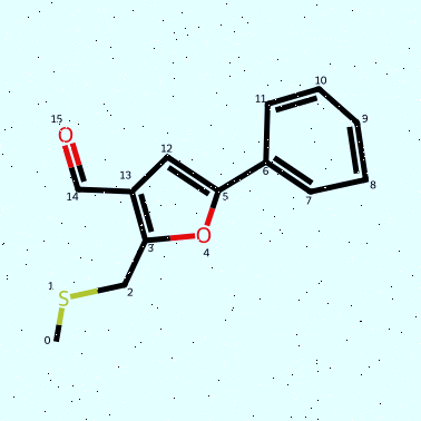 CSCc1oc(-c2ccccc2)cc1C=O